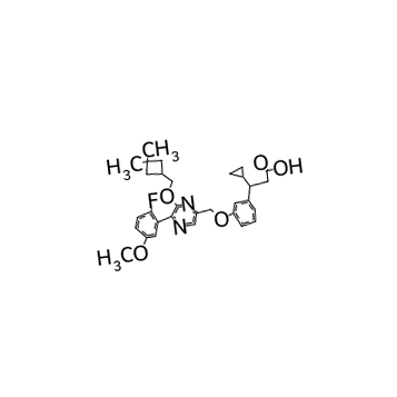 COc1ccc(F)c(-c2ncc(COc3cccc(C(CC(=O)O)C4CC4)c3)nc2OCC2CC(C)(C)C2)c1